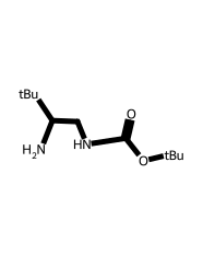 CC(C)(C)OC(=O)NCC(N)C(C)(C)C